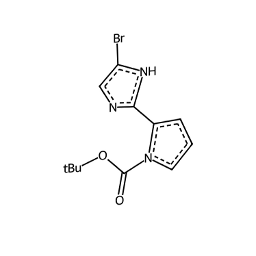 CC(C)(C)OC(=O)n1cccc1-c1ncc(Br)[nH]1